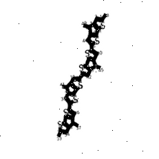 Cc1cc2c(s1)-c1sc(-c3cc4c(s3)-c3sc(-c5cc6c(s5)-c5sc(-c7cc8c(s7)-c7sc(C)cc7C8C)cc5C6C)cc3C4C)cc1C2C